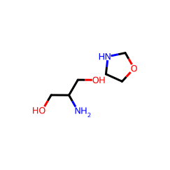 C1COCN1.NC(CO)CO